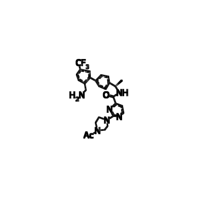 CC(=O)N1CCN(c2nccc(C(=O)N[C@H](C)c3ccc(-c4cc(C(F)(F)F)ccc4CN)cc3)n2)CC1